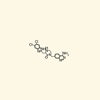 Nc1ncnc2cc(CN3CCNC(Cc4nc5cc(Cl)c(Cl)cc5[nH]4)C3=O)ccc12